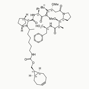 CC[C@H](C)[C@@H]([C@@H](CC(=O)N1CCC[C@H]1[C@H](OC)[C@@H](C)C(=O)N[C@@H](Cc1ccccc1)C(=O)O)OC)N(C)C(=O)[C@@H](NC(=O)[C@@H]1[C@H]2CC[C@H](C2)N1C(C)CCCCCNC(=O)OC[C@@H]1[C@@H]2CCC#CCC[C@@H]21)C(C)C